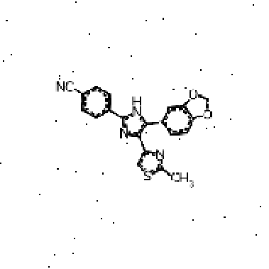 Cc1nc(-c2nc(-c3ccc(C#N)cc3)[nH]c2-c2ccc3c(c2)OCO3)cs1